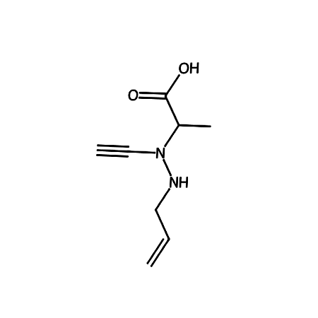 C#CN(NCC=C)C(C)C(=O)O